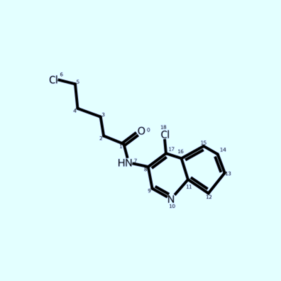 O=C(CCCCCl)Nc1cnc2ccccc2c1Cl